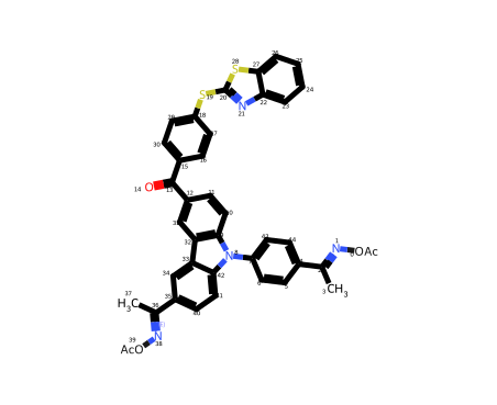 CC(=O)ON=C(C)c1ccc(-n2c3ccc(C(=O)c4ccc(Sc5nc6ccccc6s5)cc4)cc3c3cc(/C(C)=N/OC(C)=O)ccc32)cc1